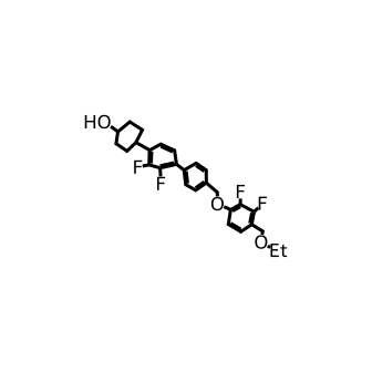 CCOCc1ccc(OCc2ccc(-c3ccc(C4CCC(O)CC4)c(F)c3F)cc2)c(F)c1F